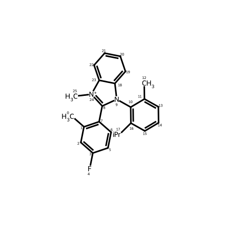 Cc1cc(F)ccc1-c1n(-c2c(C)cccc2C(C)C)c2ccccc2[n+]1C